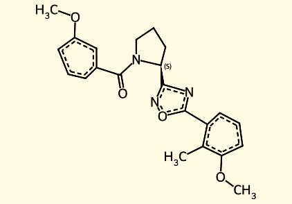 COc1cccc(C(=O)N2CCC[C@H]2c2noc(-c3cccc(OC)c3C)n2)c1